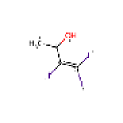 CC(O)C(I)=C(I)I